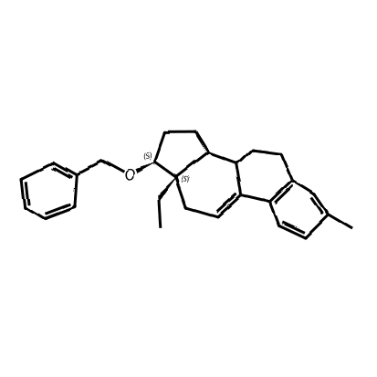 CC[C@]12CC=C3c4ccc(C)cc4CCC3C1CC[C@@H]2OCc1ccccc1